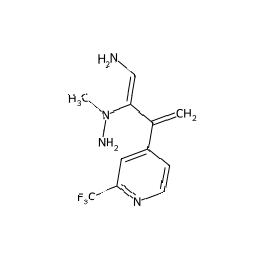 C=C(/C(=C/N)N(C)N)c1ccnc(C(F)(F)F)c1